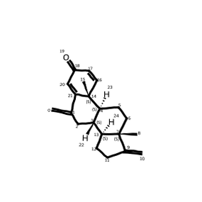 C=C1C[C@@H]2[C@H](CC[C@]3(C)C(=C)CC[C@@H]23)[C@@]2(C)C=CC(=O)C=C12